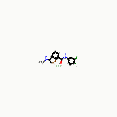 Cl.O=C(O)NC1CSc2c(C(=O)Nc3ccc(F)c(F)c3)cccc21